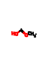 O=[C]O.[CH3]